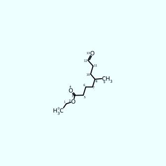 CCOC(=O)CCCC(C)CCC=O